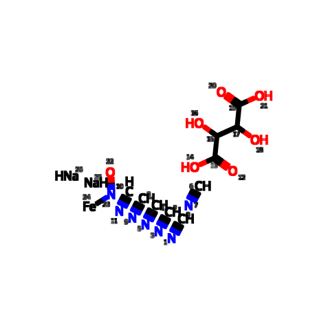 C#N.C#N.C#N.C#N.C#N.C#N.O=C(O)C(O)C(O)C(=O)O.O=[N][Fe].[NaH].[NaH]